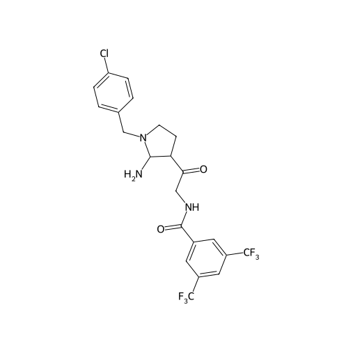 NC1C(C(=O)CNC(=O)c2cc(C(F)(F)F)cc(C(F)(F)F)c2)CCN1Cc1ccc(Cl)cc1